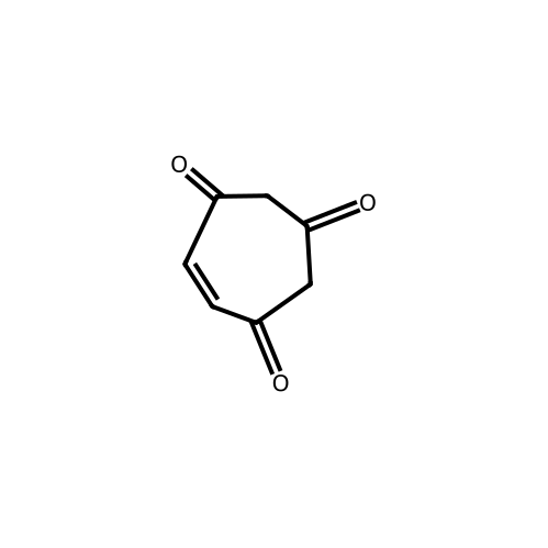 O=C1C=CC(=O)CC(=O)C1